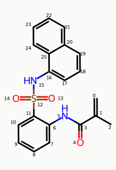 C=C(C)C(=O)Nc1ccccc1S(=O)(=O)Nc1cccc2ccccc12